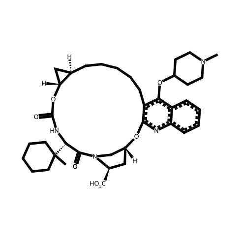 CN1CCC(Oc2c3c(nc4ccccc24)O[C@@H]2C[C@@H](C(=O)O)N(C2)C(=O)[C@H](C2(C)CCCCC2)NC(=O)O[C@@H]2C[C@H]2CCCCC3)CC1